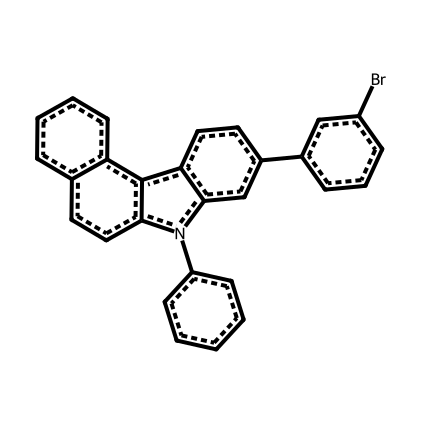 Brc1cccc(-c2ccc3c4c5ccccc5ccc4n(-c4ccccc4)c3c2)c1